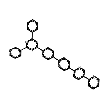 c1ccc(-c2nc(-c3ccccc3)nc(-c3ccc(-c4ccc(-c5ccc(-c6ccccn6)cn5)cc4)cc3)n2)cc1